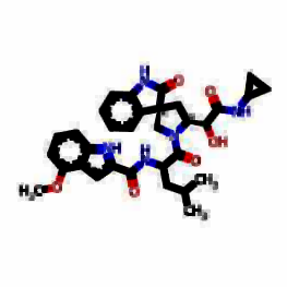 COc1cccc2[nH]c(C(=O)NC(CC(C)C)C(=O)N3C[C@]4(C[C@H]3C(O)C(=O)NC3CC3)C(=O)Nc3ccccc34)cc12